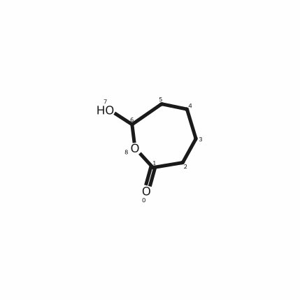 O=C1CCCCC(O)O1